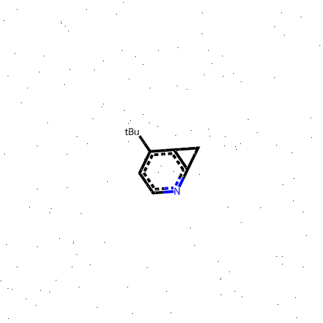 CC(C)(C)c1ccnc2c1C2